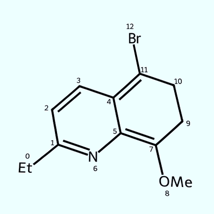 CCc1ccc2c(n1)=C(OC)CCC=2Br